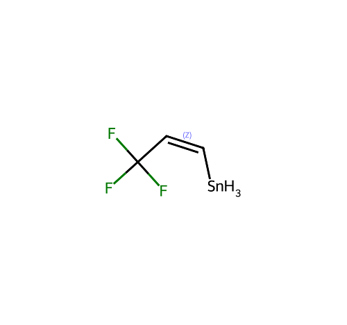 FC(F)(F)/C=[CH]\[SnH3]